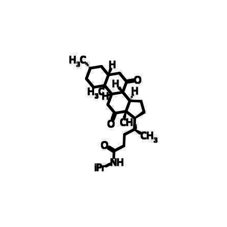 CC(C)NC(=O)CC[C@H](C)[C@@H]1CC[C@@H]2[C@H]3C(=O)C[C@H]4C[C@@H](C)CC[C@@]4(C)[C@@H]3CC(=O)[C@]21C